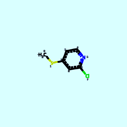 [CH2]Sc1ccnc(Cl)c1